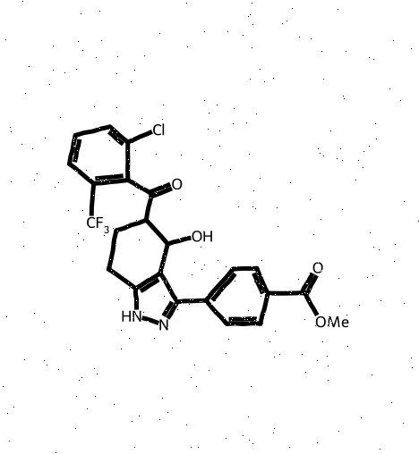 COC(=O)c1ccc(-c2n[nH]c3c2C(O)C(C(=O)c2c(Cl)cccc2C(F)(F)F)CC3)cc1